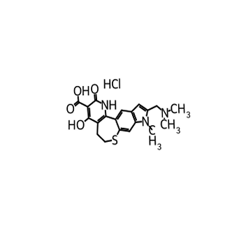 CN(C)Cc1cc2cc3c(cc2n1C)SCCc1c-3[nH]c(=O)c(C(=O)O)c1O.Cl